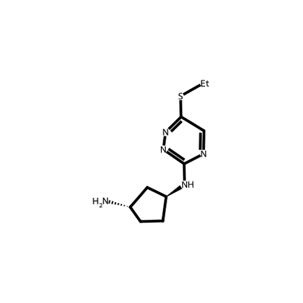 CCSc1cnc(N[C@H]2CC[C@H](N)C2)nn1